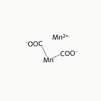 O=[C]([O-])[Mn][C](=O)[O-].[Mn+2]